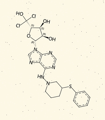 O[C@@H]1[C@H](O)[C@@H](C(O)(Cl)Cl)O[C@H]1n1cnc2c(NN3CCCC(Sc4ccccc4)C3)ncnc21